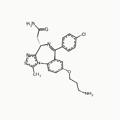 Cc1nnc2n1-c1ccc(OCCCN)cc1C(c1ccc(Cl)cc1)=N[C@H]2CC(N)=O